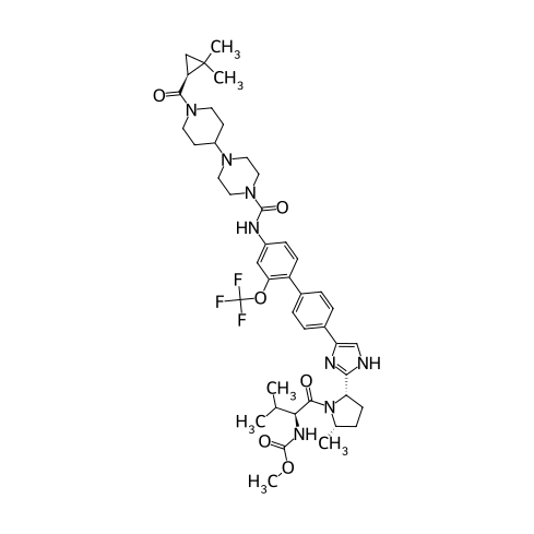 COC(=O)N[C@H](C(=O)N1[C@@H](C)CC[C@H]1c1nc(-c2ccc(-c3ccc(NC(=O)N4CCN(C5CCN(C(=O)[C@H]6CC6(C)C)CC5)CC4)cc3OC(F)(F)F)cc2)c[nH]1)C(C)C